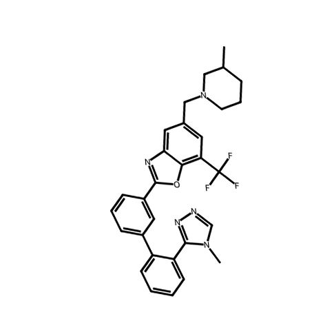 CC1CCCN(Cc2cc(C(F)(F)F)c3oc(-c4cccc(-c5ccccc5-c5nncn5C)c4)nc3c2)C1